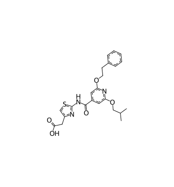 CC(C)COc1cc(C(=O)Nc2nc(CC(=O)O)cs2)cc(OCCc2ccccc2)n1